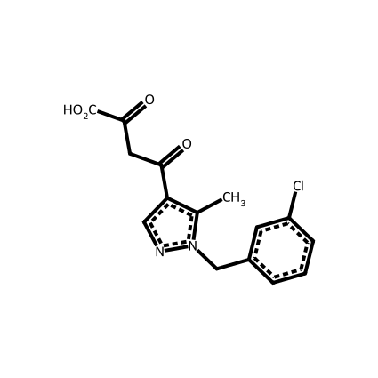 Cc1c(C(=O)CC(=O)C(=O)O)cnn1Cc1cccc(Cl)c1